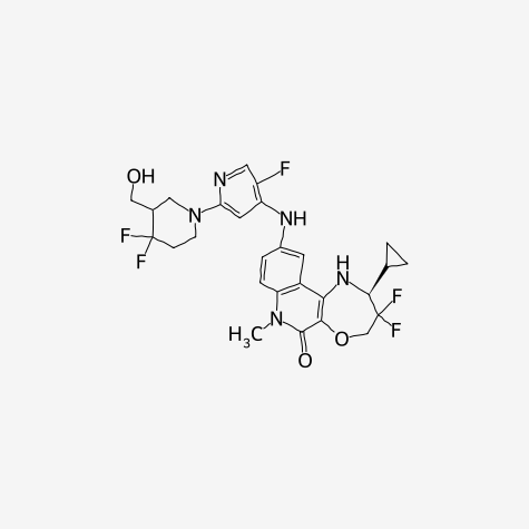 Cn1c(=O)c2c(c3cc(Nc4cc(N5CCC(F)(F)C(CO)C5)ncc4F)ccc31)N[C@@H](C1CC1)C(F)(F)CO2